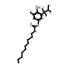 CCCCCCCCCCCC(=O)Oc1cc(C)c(O)c(C(C)(C)C(C)C)c1